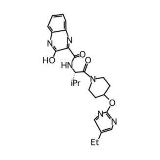 CCc1cnc(OC2CCN(C(=O)[C@@H](NC(=O)c3nc4ccccc4nc3O)C(C)C)CC2)nc1